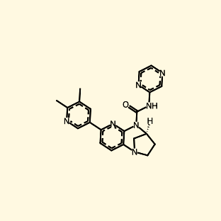 Cc1cc(-c2ccc3c(n2)N(C(=O)Nc2cnccn2)[C@H]2CCN3C2)cnc1C